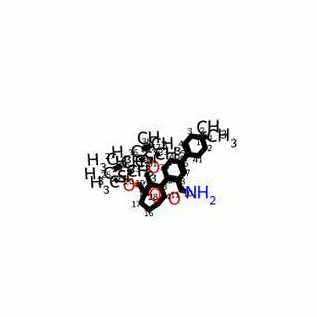 CC1(C)CC=C(C2=CC(C(N)=O)=C(C3CC4CCC(CO[Si](C)(C)C(C)(C)C)(O4)C3CO[Si](C)(C)C(C)(C)C)C[CH]2)CC1